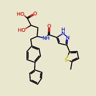 Cc1ccc(-c2cc(C(=O)NC(Cc3ccc(-c4ccccc4)cc3)CC(O)C(=O)O)[nH]n2)s1